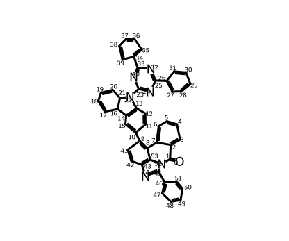 O=c1c2ccccc2c2c(-c3ccc4c(c3)C3C=CC=CC3N4c3nc(-c4ccccc4)nc(-c4ccccc4)n3)ccc3nc(-c4ccccc4)n1c32